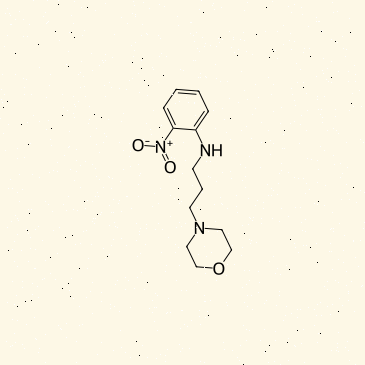 O=[N+]([O-])c1ccccc1NCCCN1CCOCC1